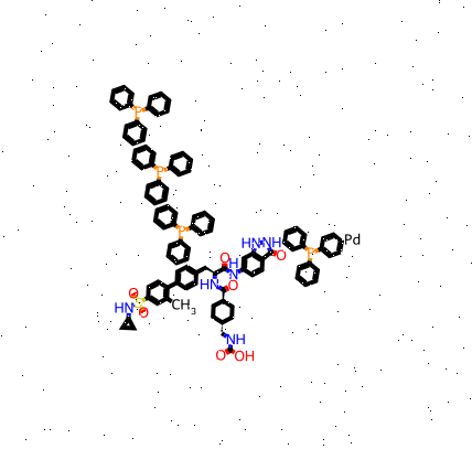 Cc1cc(S(=O)(=O)NC2CC2)ccc1-c1ccc(C[C@H](NC(=O)[C@H]2CC[C@H](CNC(=O)O)CC2)C(=O)Nc2ccc3c(=O)[nH][nH]c3c2)cc1.[Pd].c1ccc(P(c2ccccc2)c2ccccc2)cc1.c1ccc(P(c2ccccc2)c2ccccc2)cc1.c1ccc(P(c2ccccc2)c2ccccc2)cc1.c1ccc(P(c2ccccc2)c2ccccc2)cc1